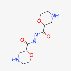 O=C(N=NC(=O)C1CNCCO1)C1CNCCO1